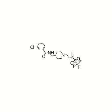 O=C(NCC1CCN(CCNS(=O)(=O)C(F)(F)F)CC1)c1cccc(Cl)c1